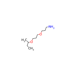 CCC(C)OCCCOCCCN